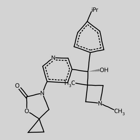 CC(C)c1ccc([C@](O)(c2cncc(N3CC4(CC4)OC3=O)c2)C2(C)CN(C)C2)cc1